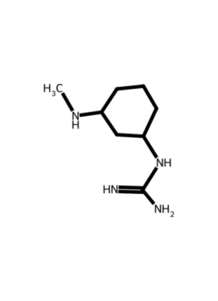 CNC1CCCC(NC(=N)N)C1